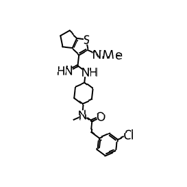 CNc1sc2c(c1C(=N)NC1CCC(N(C)C(=O)Cc3cccc(Cl)c3)CC1)CCC2